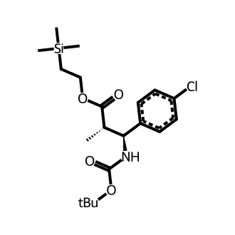 C[C@H](C(=O)OCC[Si](C)(C)C)[C@H](NC(=O)OC(C)(C)C)c1ccc(Cl)cc1